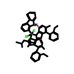 CCc1ccccc1-c1c(C)ccc2c1C=C(CC(C)C)[CH]2[Zr]([Cl])([Cl])([c]1cccc2c1[SiH2]c1ccccc1-2)[CH]1C(CC(C)C)=Cc2c1ccc(C)c2-c1ccccc1CC